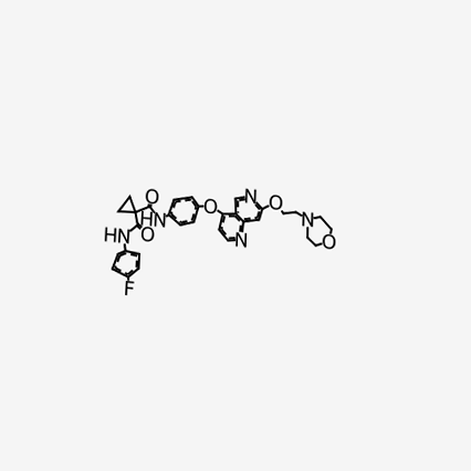 O=C(Nc1ccc(F)cc1)C1(C(=O)Nc2ccc(Oc3ccnc4cc(OCCN5CCOCC5)ncc34)cc2)CC1